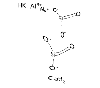 O=[Si]([O-])[O-].O=[Si]([O-])[O-].[Al+3].[CaH2].[KH].[Na+]